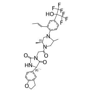 CC=Cc1cc(C(O)(C(F)(F)F)C(F)(F)F)ccc1N1C[C@H](C)N(C(=O)CN2C(=O)N[C@](C)(c3ccc4c(c3)CCO4)C2=O)CC1C